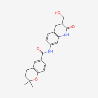 CC1(C)CCc2cc(C(=O)Nc3ccc4c(c3)NC(=O)C(CO)C4)ccc2O1